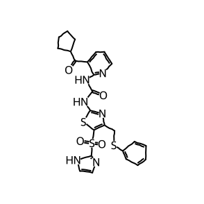 O=C(Nc1nc(CSc2ccccc2)c(S(=O)(=O)c2ncc[nH]2)s1)Nc1ncccc1C(=O)C1CCCC1